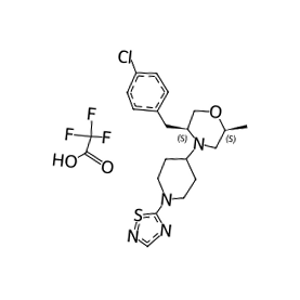 C[C@H]1CN(C2CCN(c3ncns3)CC2)[C@@H](Cc2ccc(Cl)cc2)CO1.O=C(O)C(F)(F)F